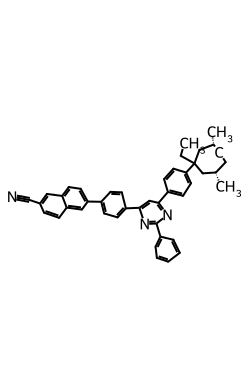 CCC1(c2ccc(-c3cc(-c4ccc(-c5ccc6cc(C#N)ccc6c5)cc4)nc(-c4ccccc4)n3)cc2)C[C@H](C)CC[C@H](C)C1